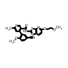 COCCOc1ccc2nc(NC(=O)c3cnc(C)cc3-c3cc(C#N)ccc3OC)sc2n1